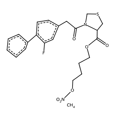 C.O=C(OCCCCO[N+](=O)[O-])C1CSCN1C(=O)Cc1ccc(-c2ccccc2)c(F)c1